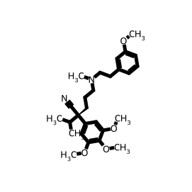 COc1cccc(CCN(C)CCC[C@@](C#N)(c2cc(OC)c(OC)c(OC)c2)C(C)C)c1